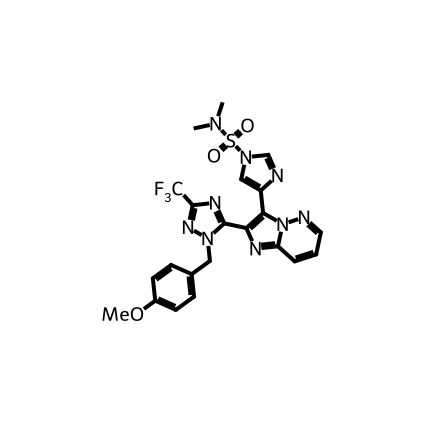 COc1ccc(Cn2nc(C(F)(F)F)nc2-c2nc3cccnn3c2-c2cn(S(=O)(=O)N(C)C)cn2)cc1